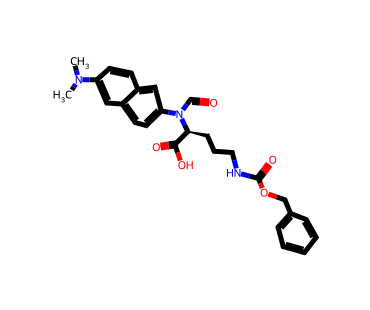 CN(C)c1ccc2cc(N(C=O)[C@@H](CCCNC(=O)OCc3ccccc3)C(=O)O)ccc2c1